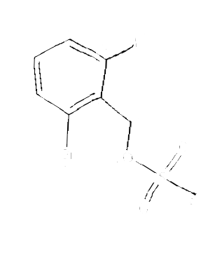 CS(=O)(=O)OCc1c(Br)cccc1I